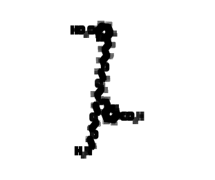 NCCOCCOCCN(CCOCCOCCCCc1cccc(C(=O)O)n1)Cc1cccc(C(=O)O)n1